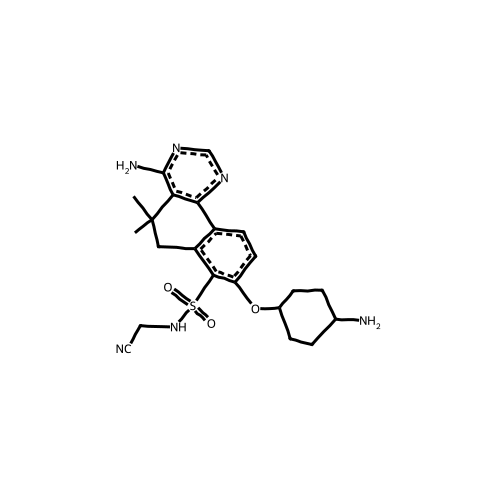 CC1(C)Cc2c(ccc(OC3CCC(N)CC3)c2S(=O)(=O)NCC#N)-c2ncnc(N)c21